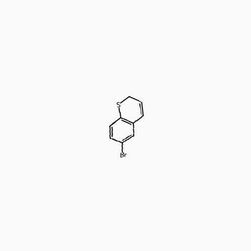 Brc1ccc2c(c1)C=CCS2